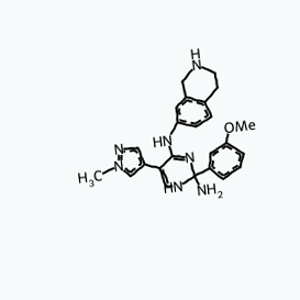 COc1cccc(C2(N)N=C(Nc3ccc4c(c3)CNCC4)C(c3cnn(C)c3)=CN2)c1